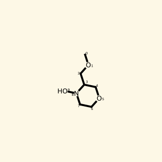 COCC1COCCN1O